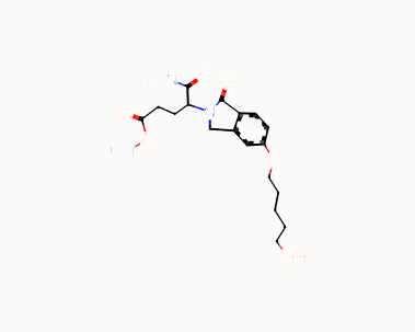 CC(C)(C)OC(=O)CCC(C(N)=O)N1Cc2cc(OCCCCCO)ccc2C1=O